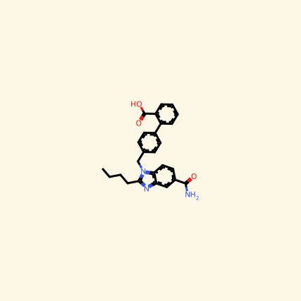 CCCCc1nc2cc(C(N)=O)ccc2n1Cc1ccc(-c2ccccc2C(=O)O)cc1